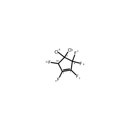 FC1=C(F)C(F)(F)C(Cl)(Cl)C1F